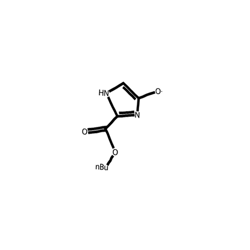 CCCCOC(=O)c1nc([O])c[nH]1